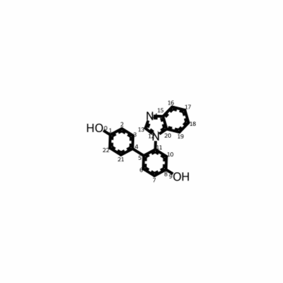 Oc1ccc(-c2ccc(O)cc2-n2cnc3ccccc32)cc1